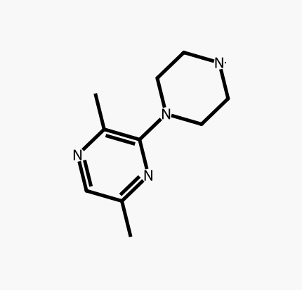 Cc1cnc(C)c(N2CC[N]CC2)n1